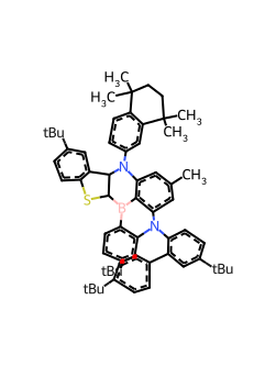 Cc1cc2c3c(c1)N(c1ccc4c(c1)C(C)(C)CCC4(C)C)C1c4cc(C(C)(C)C)ccc4SC1B3c1ccc(C(C)(C)C)cc1N2c1ccc(C(C)(C)C)cc1-c1ccc(C(C)(C)C)cc1